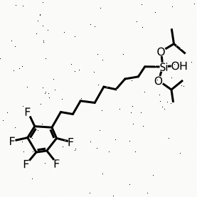 CC(C)O[Si](O)(CCCCCCCCCc1c(F)c(F)c(F)c(F)c1F)OC(C)C